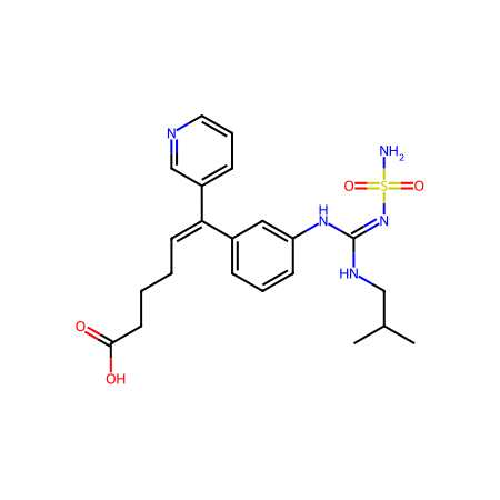 CC(C)CN/C(=N/S(N)(=O)=O)Nc1cccc(/C(=C\CCCC(=O)O)c2cccnc2)c1